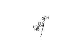 CCCCCCCCCCCCCCCC(=O)O.OCC(O)C(O)CO